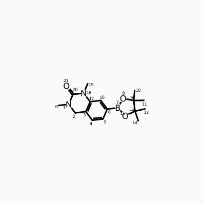 CN1Cc2ccc(B3OC(C)(C)C(C)(C)O3)cc2N(C)C1=O